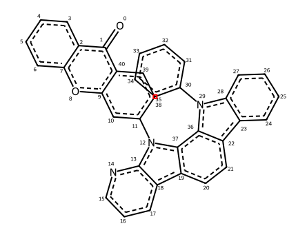 O=c1c2ccccc2oc2cc(-n3c4ncccc4c4ccc5c6ccccc6n(-c6ccccc6)c5c43)ccc12